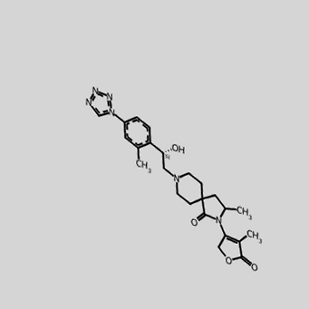 CC1=C(N2C(=O)C3(CCN(C[C@@H](O)c4ccc(-n5cnnn5)cc4C)CC3)CC2C)COC1=O